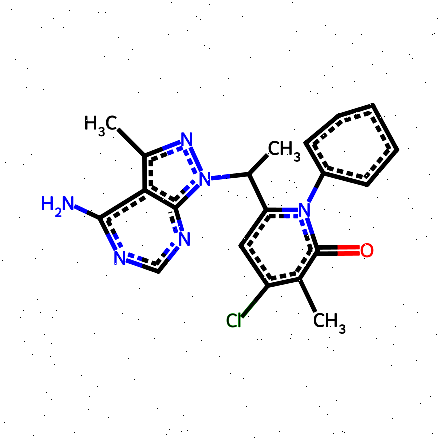 Cc1c(Cl)cc(C(C)n2nc(C)c3c(N)ncnc32)n(-c2ccccc2)c1=O